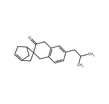 CC(C)Cc1ccc2c(c1)CC(=O)C1(CC3=CCC1C3)C2